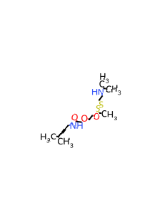 CC(C)C#CCNC(=O)COCCOC(C)SSCCNC(C)C